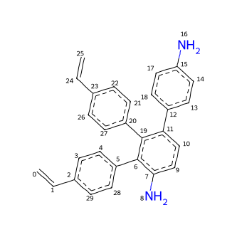 C=Cc1ccc(-c2c(N)ccc(-c3ccc(N)cc3)c2-c2ccc(C=C)cc2)cc1